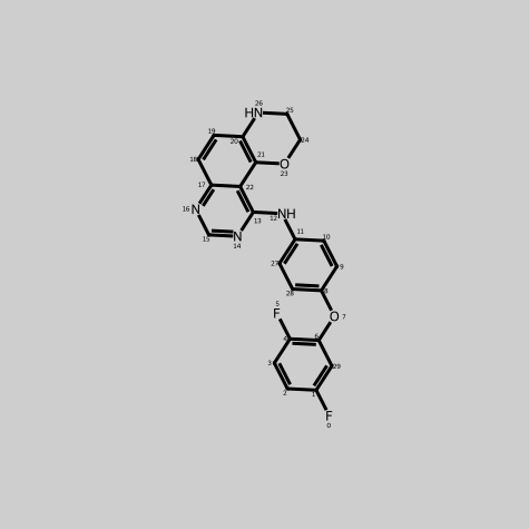 Fc1ccc(F)c(Oc2ccc(Nc3ncnc4ccc5c(c34)OCCN5)cc2)c1